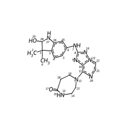 CC1(C)c2ccc(Nc3nc4c(N5CCNC(=O)CC5)nccn4n3)cc2NC1O